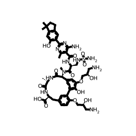 Cc1nc(-c2cc3c(cc2O)C(C)(C)CC3)nc(N)c1C(=O)N[C@@H](CNS(N)(=O)=O)C(=O)N(C)[C@@H]1C(=O)N[C@@H](C)C(=O)N[C@H](C(=O)O)Cc2ccc(OC[C@H](O)CN)c(c2)-c2cc1cc(OC[C@H](O)CN)c2O